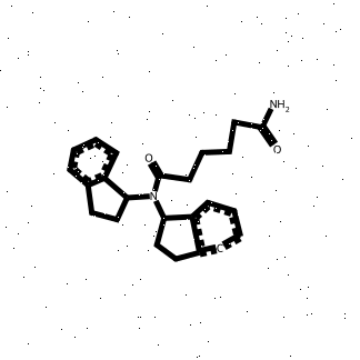 NC(=O)CCCCC(=O)N(C1CCc2ccccc21)C1CCc2ccccc21